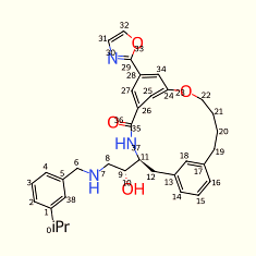 CC(C)c1cccc(CNC[C@@H](O)[C@@H]2Cc3cccc(c3)CCCCOc3cc(cc(-c4ncco4)c3)C(=O)N2)c1